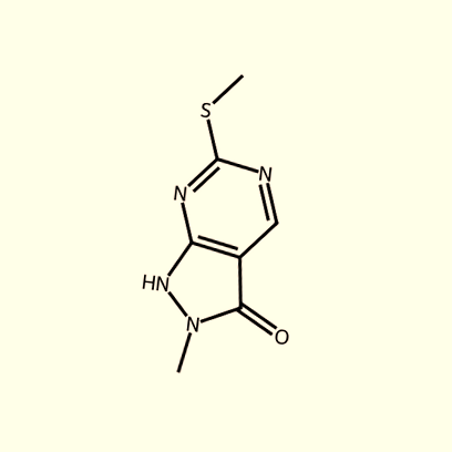 CSc1ncc2c(=O)n(C)[nH]c2n1